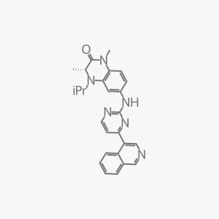 CC(C)N1c2cc(Nc3nccc(-c4cncc5ccccc45)n3)ccc2N(C)C(=O)[C@H]1C